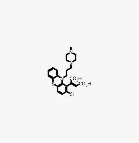 CN1CCN(CCCN2c3ccccc3Sc3ccc(Cl)c(/C(=C/C(=O)O)C(=O)O)c32)CC1